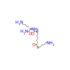 C[C@@H](CCCCN)C(=O)CCCCC[C@H](C)C(=O)N[C@@H](CCCCN)C(N)=O